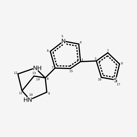 c1cc(-c2cncc(C34CNC(CN3)C4)c2)cs1